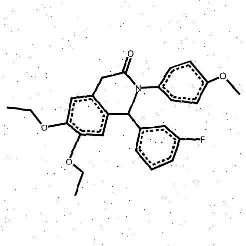 CCOc1cc2c(cc1OCC)C(c1cccc(F)c1)N(c1ccc(OC)cc1)C(=O)C2